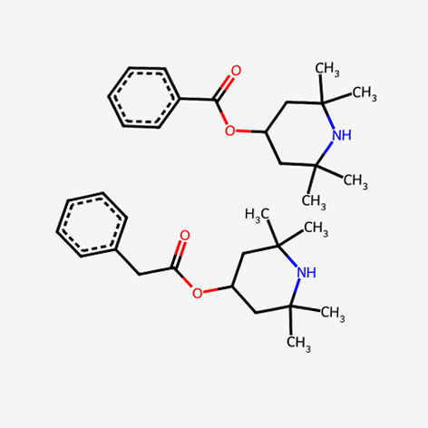 CC1(C)CC(OC(=O)Cc2ccccc2)CC(C)(C)N1.CC1(C)CC(OC(=O)c2ccccc2)CC(C)(C)N1